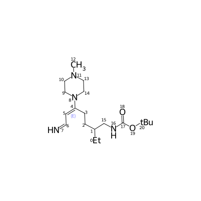 CCC(CC/C(=C\C=N)N1CCN(C)CC1)CNC(=O)OC(C)(C)C